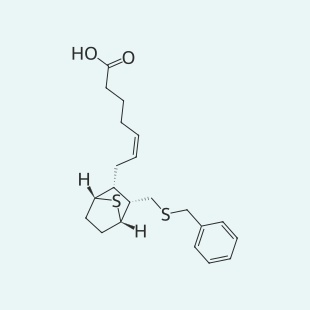 O=C(O)CCC/C=C\C[C@@H]1[C@H](CSCc2ccccc2)[C@@H]2CC[C@H]1S2